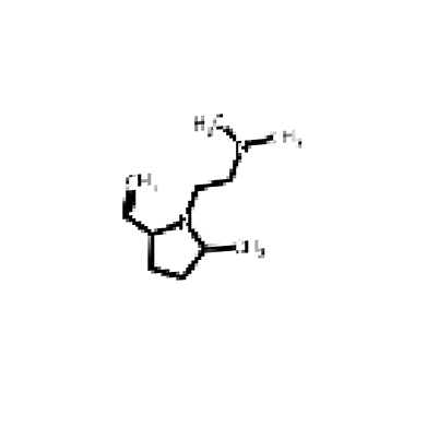 C=CC1CCC(C)N1CCN(C)C